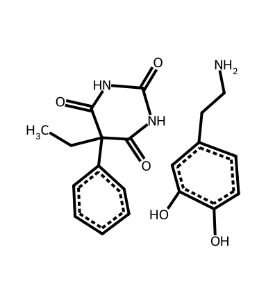 CCC1(c2ccccc2)C(=O)NC(=O)NC1=O.NCCc1ccc(O)c(O)c1